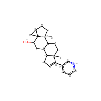 CC12CCC3C(CC(O)C45CC4CCC35C)C1CC=C2c1cccnc1